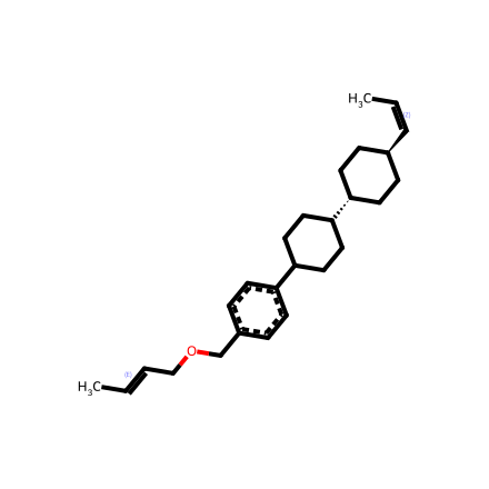 C/C=C\[C@H]1CC[C@H](C2CCC(c3ccc(COC/C=C/C)cc3)CC2)CC1